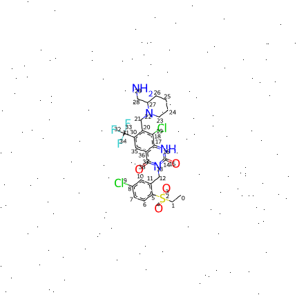 CCS(=O)(=O)c1ccc(Cl)cc1Cn1c(=O)[nH]c2c(Cl)c(CN3CCCCC3CN)c(C(F)(F)F)cc2c1=O